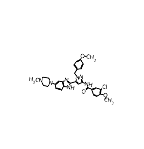 COc1ccc(Cn2nc(NC(=O)c3ccc(OC)c(Cl)c3)cc2-c2nc3cc(N4CCN(C)CC4)ccc3[nH]2)cc1